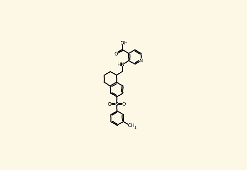 Cc1cccc(S(=O)(=O)c2ccc3c(c2)CCCC3CNc2cnccc2C(=O)O)c1